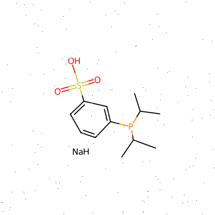 CC(C)P(c1cccc(S(=O)(=O)O)c1)C(C)C.[NaH]